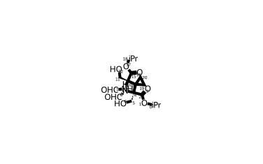 CC(C)OC(=O)[C@@](CO)(NC=O)C1([C@](CO)(NC=O)C(=O)OC(C)C)CC1